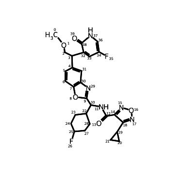 COCC(c1ccc2oc(C(NC(=O)c3nonc3C3CC3)C3CCC(F)CC3)nc2c1)c1cc(F)c[nH]c1=O